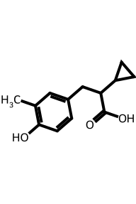 Cc1cc(CC(C(=O)O)C2CC2)ccc1O